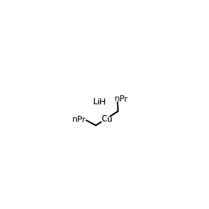 CCC[CH2][Cu][CH2]CCC.[LiH]